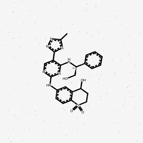 Cc1nnc(-c2cnc(Nc3ccc4c(c3)C(O)CCS4(=O)=O)nc2N[C@H](CO)c2ccccc2)s1